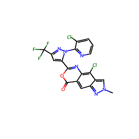 Cn1cc2c(Cl)c3nc(-c4cc(C(F)(F)F)nn4-c4ncccc4Cl)oc(=O)c3cc2n1